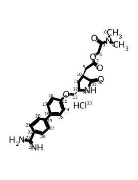 CN(C)C(=O)COC(=O)C[C@@H]1C[C@@H](COc2ccc(-c3ccc(C(=N)N)cc3)cc2)NC1=O.Cl